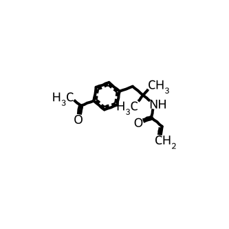 C=CC(=O)NC(C)(C)Cc1ccc(C(C)=O)cc1